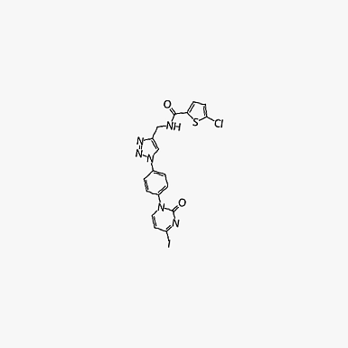 O=C(NCc1cn(-c2ccc(-n3ccc(I)nc3=O)cc2)nn1)c1ccc(Cl)s1